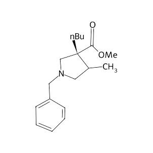 CCCC[C@]1(C(=O)OC)CN(Cc2ccccc2)CC1C